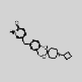 O=c1ccc(Cc2ccc3c(c2)COC2(CCN(C4CCC4)CC2)O3)c[nH]1